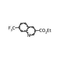 CCOC(=O)c1cnc2cc(C(F)(F)F)ccc2c1